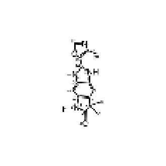 CCN1C(=O)C(C)(C)c2cc3c(cc21)NC(c1ocnc1C)N3